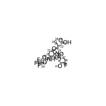 COc1cc(S(=O)(=O)N2C[C@H](C(CC(=O)O)C3CC3)Oc3ccc(NC(=O)OC(C)(C)C(F)(F)F)cc32)ccc1F